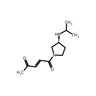 CC(=O)/C=C/C(=O)N1CC[C@H](NC(C)C)C1